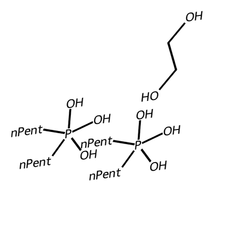 CCCCCP(O)(O)(O)CCCCC.CCCCCP(O)(O)(O)CCCCC.OCCO